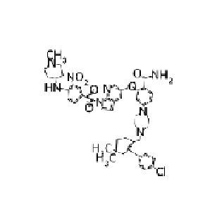 CN1CCC(Nc2ccc(S(=O)(=O)n3ccc4cc(Oc5cc(N6CCN(CC7=C(c8ccc(Cl)cc8)CC(C)(C)CC7)CC6)ccc5C(N)=O)cnc43)cc2[N+](=O)[O-])CC1